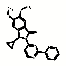 COc1cc2c(cc1OC)C(C1CC1)N(c1ccnc(-c3ncccn3)n1)C2=O